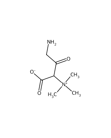 C[N+](C)(C)C(C(=O)[O-])C(=O)CN